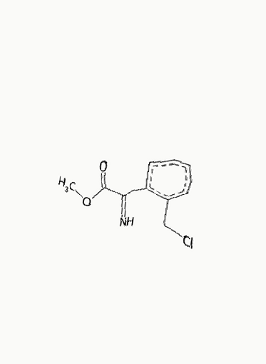 COC(=O)C(=N)c1ccccc1CCl